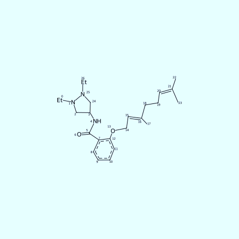 CCN1CC(NC(=O)c2ccccc2OC/C=C(\C)CCC=C(C)C)CN1CC